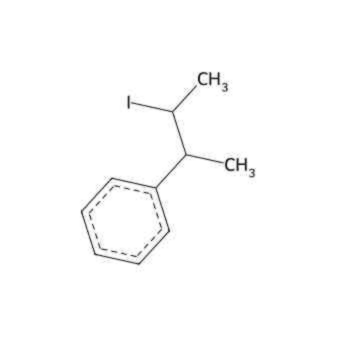 CC(I)C(C)c1ccccc1